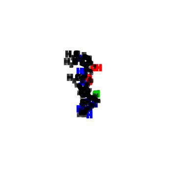 C[C@H](C(=O)N[C@H](CO)c1cccc(N(C)C)c1)N1Cc2ccc(-c3nc(Nc4ccnn4C)ncc3Cl)cc2C1=O